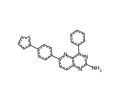 Nc1nc(-c2ccccc2)c2nc(-c3ccc(-c4cccs4)cc3)ccc2n1